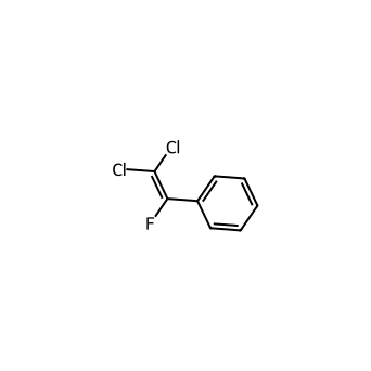 FC(=C(Cl)Cl)c1ccccc1